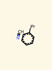 C#N.CC(C)c1ccccc1